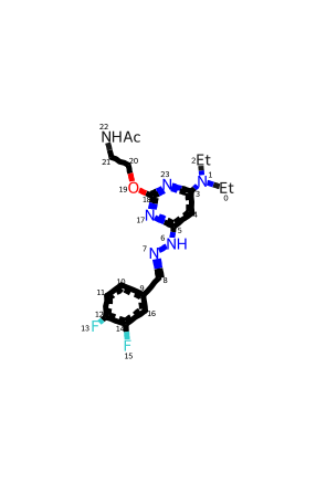 CCN(CC)c1cc(NN=Cc2ccc(F)c(F)c2)nc(OCCNC(C)=O)n1